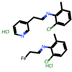 Cc1cccc(Cl)c1N=CCc1cccnc1.Cc1cccc(Cl)c1N=C[CH2][Fe].Cl.Cl